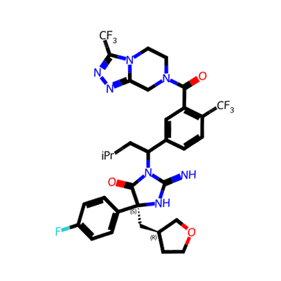 CC(C)CC(c1ccc(C(F)(F)F)c(C(=O)N2CCn3c(nnc3C(F)(F)F)C2)c1)N1C(=N)N[C@@](C[C@@H]2CCOC2)(c2ccc(F)cc2)C1=O